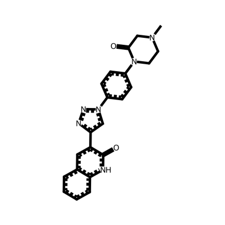 CN1CCN(c2ccc(-n3cc(-c4cc5ccccc5[nH]c4=O)nn3)cc2)C(=O)C1